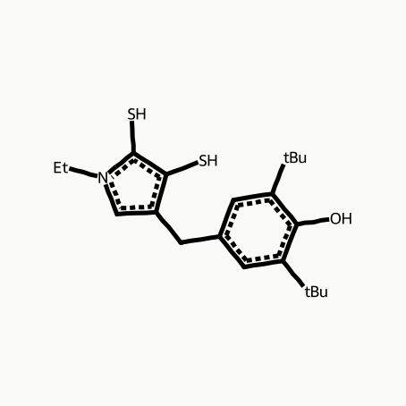 CCn1cc(Cc2cc(C(C)(C)C)c(O)c(C(C)(C)C)c2)c(S)c1S